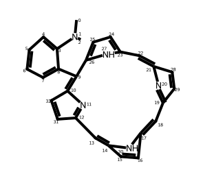 CN(C)c1ccccc1-c1c2nc(cc3ccc(cc4nc(cc5ccc1[nH]5)C=C4)[nH]3)C=C2